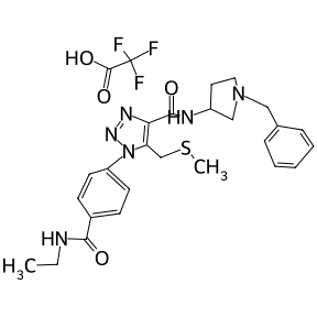 CCNC(=O)c1ccc(-n2nnc(C(=O)NC3CCN(Cc4ccccc4)C3)c2CSC)cc1.O=C(O)C(F)(F)F